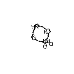 Clc1c(Cl)c2cc3nc(cc4ccc(cc5nc(cc1[nH]2)C=C5)[nH]4)C=C3